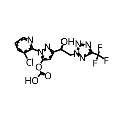 O=C(O)Oc1cc(C(O)Cn2nnc(C(F)(F)F)n2)nn1-c1ncccc1Cl